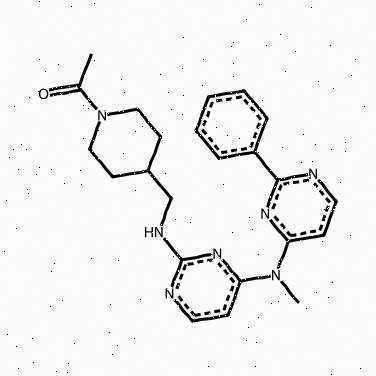 CC(=O)N1CCC(CNc2nccc(N(C)c3ccnc(-c4ccccc4)n3)n2)CC1